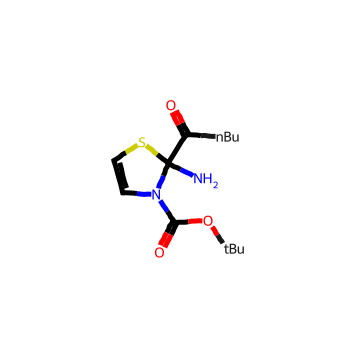 [CH2]CCCC(=O)C1(N)SC=CN1C(=O)OC(C)(C)C